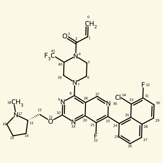 C=CC(=O)N1CCN(c2nc(OC[C@@H]3CCCN3C)nc3c(F)c(-c4cccc5ccc(F)c(Cl)c45)ncc23)CC1C(F)(F)F